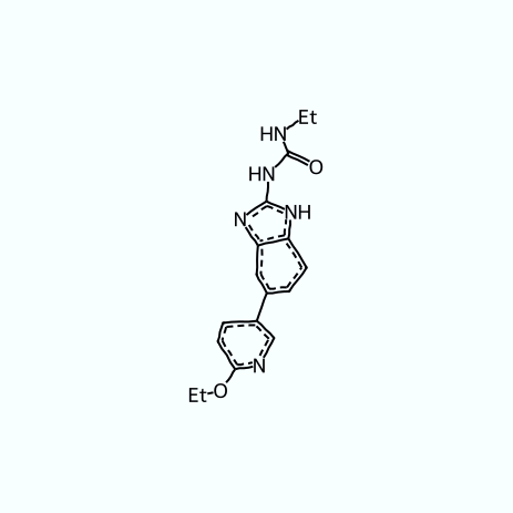 CCNC(=O)Nc1nc2cc(-c3ccc(OCC)nc3)ccc2[nH]1